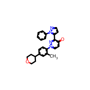 Cc1cc(C2CCOCC2)ccc1-n1ccc(=O)c(-c2ccnn2-c2ccccc2)n1